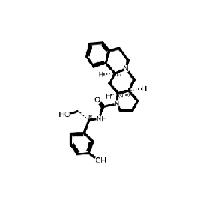 O=C(N[C@@H](CO)c1cccc(O)c1)N1CCC[C@@H]2CN3CCc4ccccc4[C@@H]3C[C@@H]21